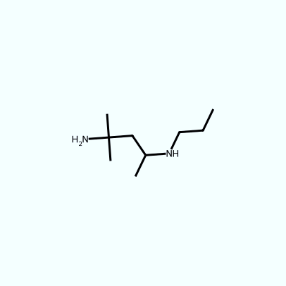 CCCNC(C)CC(C)(C)N